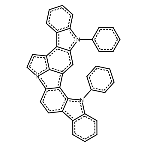 c1ccc(-n2c3ccccc3c3c4ccn5c6ccc7c8ccccc8n(-c8ccccc8)c7c6c(cc32)c45)cc1